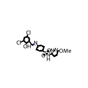 COc1ccc(NS(=O)(=O)c2ccc(/N=C/c3cc(Cl)cc(Cl)c3O)cc2)nn1